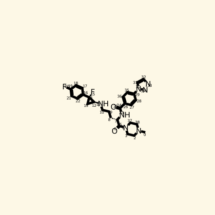 CN1CCN(C(=O)[C@H](CCCN[C@H]2C[C@]2(F)c2ccc(F)cc2)NC(=O)c2ccc(-n3ccnn3)cc2)CC1